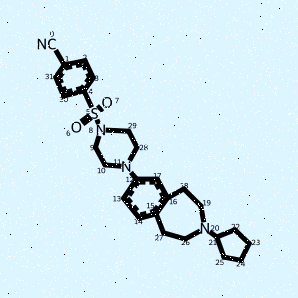 N#Cc1ccc(S(=O)(=O)N2CCN(c3ccc4c(c3)CCN(C3CCCC3)CC4)CC2)cc1